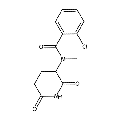 CN(C(=O)c1ccccc1Cl)C1CCC(=O)NC1=O